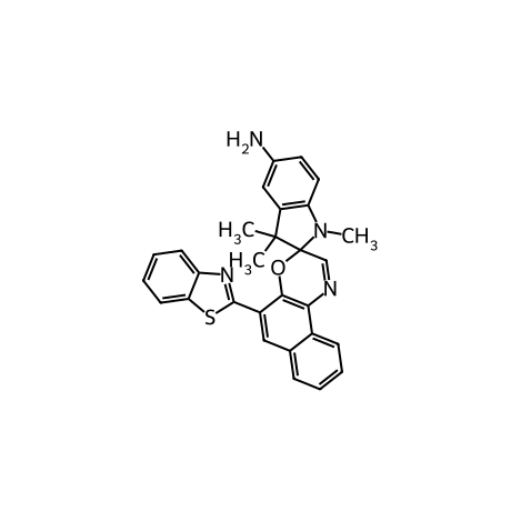 CN1c2ccc(N)cc2C(C)(C)C12C=Nc1c(c(-c3nc4ccccc4s3)cc3ccccc13)O2